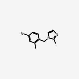 Cc1cc(Br)ccc1Cn1ccnc1I